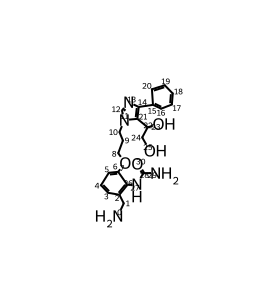 NCc1cccc(OCCCn2cnc(-c3ccccc3)c2C(O)CO)c1NC(N)=O